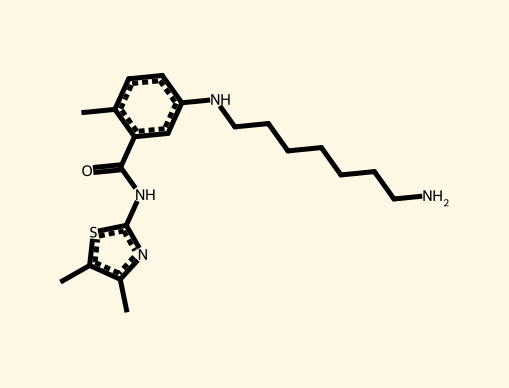 Cc1ccc(NCCCCCCCN)cc1C(=O)Nc1nc(C)c(C)s1